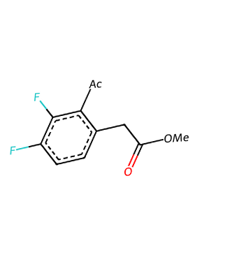 COC(=O)Cc1ccc(F)c(F)c1C(C)=O